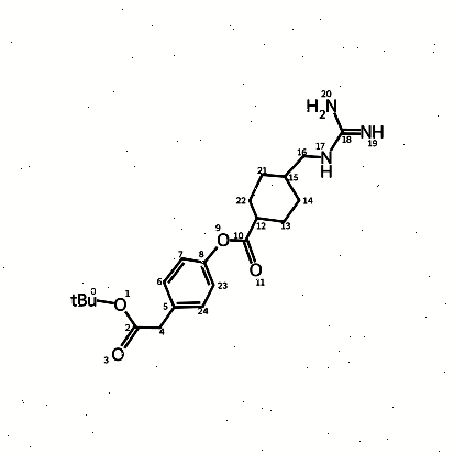 CC(C)(C)OC(=O)Cc1ccc(OC(=O)C2CCC(CNC(=N)N)CC2)cc1